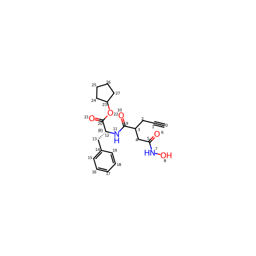 C#CCC(CC(=O)NO)C(=O)N[C@H](Cc1ccccc1)C(=O)OC1CCCC1